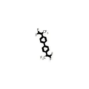 FC(F)=C(c1ccc(-c2ccc(C(=C(F)F)C(F)(F)F)cc2)cc1)C(F)(F)F